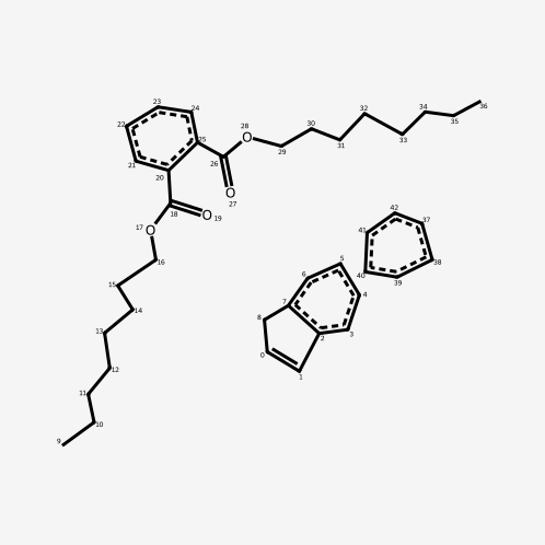 C1=Cc2ccccc2C1.CCCCCCCCOC(=O)c1ccccc1C(=O)OCCCCCCCC.c1ccccc1